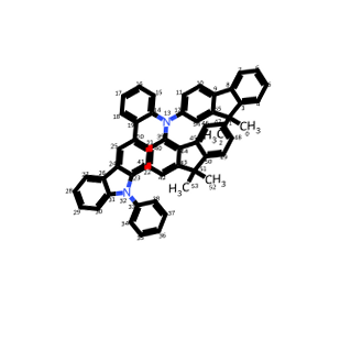 CC1(C)c2ccccc2-c2ccc(N(c3ccccc3-c3ccc4c(c3)c3ccccc3n4-c3ccccc3)c3cccc4c3-c3ccccc3C4(C)C)cc21